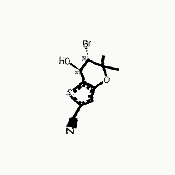 CC1(C)Oc2cc(C#N)sc2[C@@H](O)[C@@H]1Br